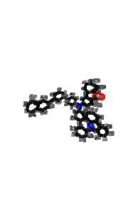 c1cc(-c2ccc(N(c3ccc(-c4ccccc4-n4c5ccccc5c5ccccc54)cc3)c3ccc4oc5ccccc5c4c3)cc2)cc(-c2ccc3ccccc3c2)c1